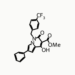 COC(=O)c1c(O)c2cc(-c3ccccc3)cn2n(Cc2ccc(C(F)(F)F)cc2)c1=O